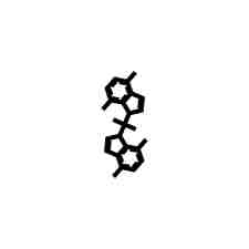 Cc1ccc(C)c2c1C=CC2C(C)(C)C1C=Cc2c(C)ccc(C)c21